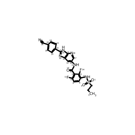 CCCS(=O)(=O)Nc1ccc(F)c(C(=O)Nc2cnc3[nH]c(-c4ccc(C#N)cc4)nc3c2)c1F